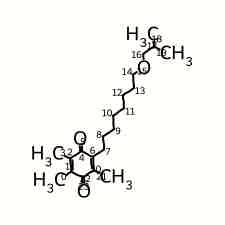 CC1=C(C)C(=O)C(CCCCCCCCOCC(C)C)=C(C)C1=O